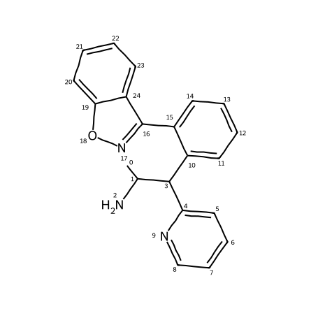 CC(N)C(c1ccccn1)c1ccccc1-c1noc2ccccc12